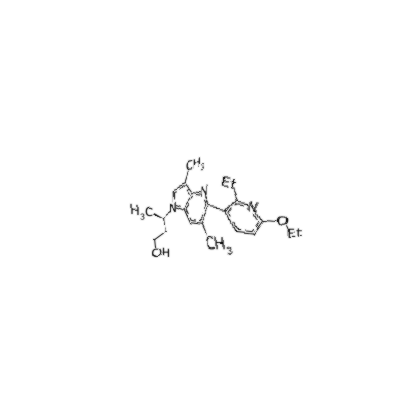 CCOc1ccc(-c2nc3c(C)cn([C@H](C)CCO)c3cc2C)c(CC)n1